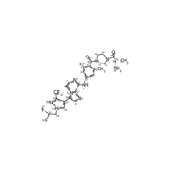 Cc1cc(Nc2nccn3c(-c4cn(CC(F)F)nc4C(F)(F)F)cnc23)cc(F)c1C(=O)N1CCN(C(=O)[C@H](C)N)CC1